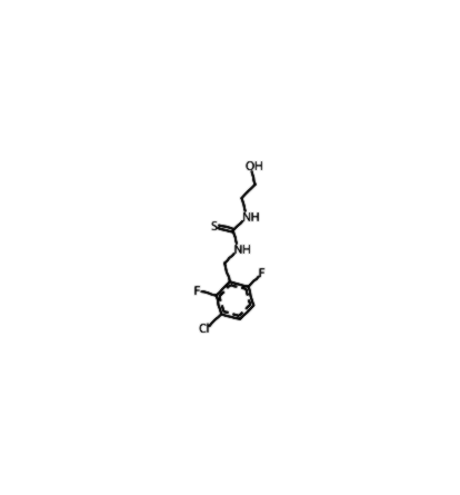 OCCNC(=S)NCc1c(F)ccc(Cl)c1F